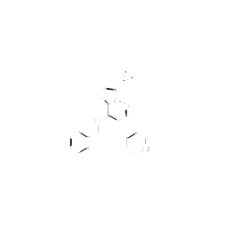 C1=C(Oc2cc(NCc3ccccc3)c3ncc(C4CC4)n3n2)CNCC1